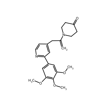 C=C(Cc1ccnc(-c2cc(OC)c(OC)c(OC)c2)c1)N1CCC(=O)CC1